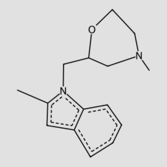 Cc1cc2ccccc2n1CC1CN(C)CCO1